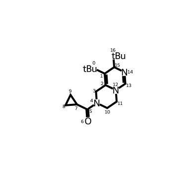 CC(C)(C)C1=C2CN(C(=O)C3CC3)CCN2C=NC1C(C)(C)C